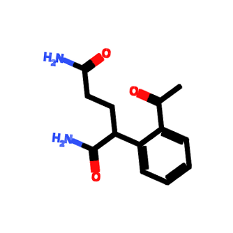 CC(=O)c1ccccc1C(CCC(N)=O)C(N)=O